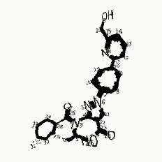 CC(C)N(c1nn(-c2ccc(-c3cccc(CO)n3)cc2)cc1C(=O)O)C(=O)[C@H]1CC[C@H](C)CC1